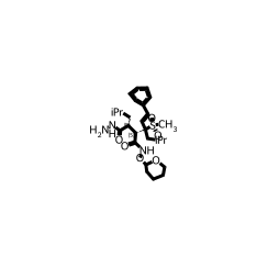 CC(C)C[C@@H](C(=O)NN)[C@@H](C(=O)NOC1CCCCO1)C(C=Cc1ccccc1)(CC(C)C)S(C)(=O)=O